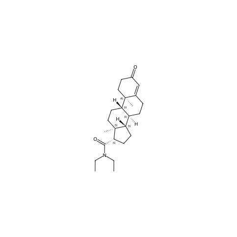 CCN(CC)C(=O)[C@H]1CC[C@H]2[C@@H]3CCC4=CC(=O)CC[C@]4(C)[C@H]3CC[C@]12C